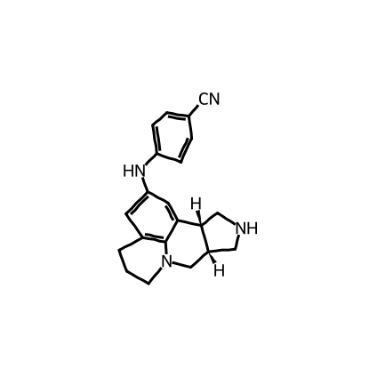 N#Cc1ccc(Nc2cc3c4c(c2)[C@@H]2CNC[C@@H]2CN4CCC3)cc1